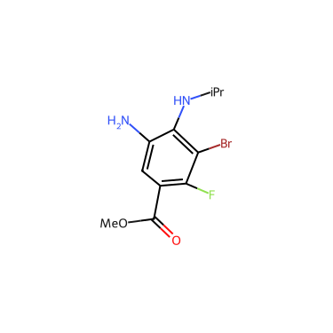 COC(=O)c1cc(N)c(NC(C)C)c(Br)c1F